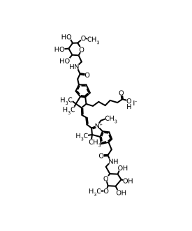 CC[N+]1=C(C=CC=C2C(CCCCCC(=O)O)c3ccc(CC(=O)NCC4OC(OC)C(O)C(O)C4O)cc3C2(C)C)C(C)(C)c2cc(CC(=O)NCC3OC(OC)C(O)C(O)C3O)ccc21.[I-]